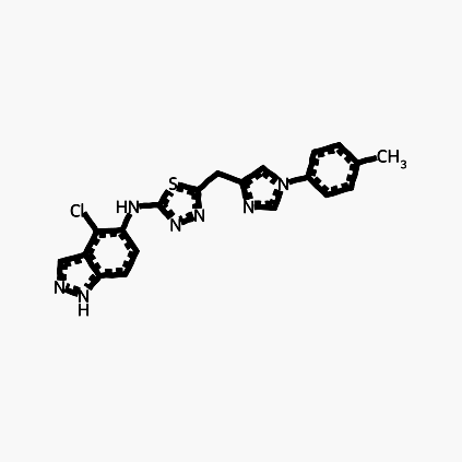 Cc1ccc(-n2cnc(Cc3nnc(Nc4ccc5[nH]ncc5c4Cl)s3)c2)cc1